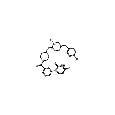 O=C(c1cccc(-n2ccc(=O)[nH]c2=O)c1)N1CCC(O[C@@H]2CCN(Cc3ccc(Br)cc3)C[C@H]2F)CC1